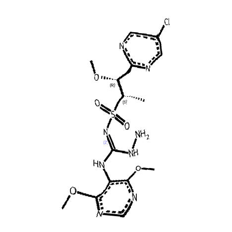 COc1ncnc(OC)c1N/C(=N/S(=O)(=O)[C@@H](C)[C@H](OC)c1ncc(Cl)cn1)NN